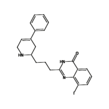 O=c1[nH]c(CCCC2CC(c3ccccc3)=CCN2)nc2c(I)cccc12